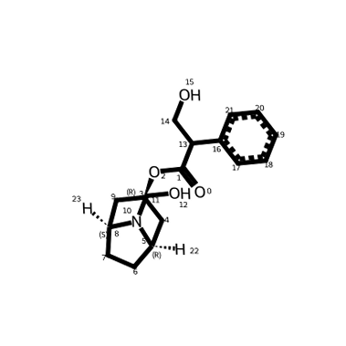 O=C(O[C@H]1C[C@H]2CC[C@@H](C1)N2CO)C(CO)c1ccccc1